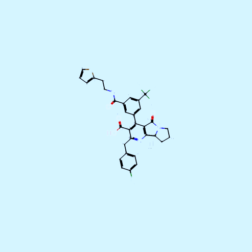 O=C(NCCc1cccs1)c1cc(-c2c(C(=O)O)c(Cc3ccc(F)cc3)nc3c2C(=O)N2CCC[C@@H]32)cc(C(F)(F)F)c1